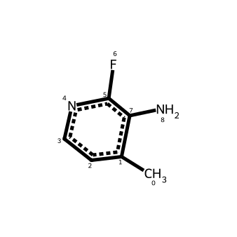 Cc1ccnc(F)c1N